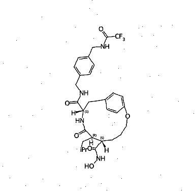 CC(C)C[C@H]1C(=O)N[C@H](C(=O)NCc2ccc(CNC(=O)C(F)(F)F)cc2)Cc2ccc(cc2)OCCC[C@@H]1C(=O)NO